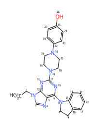 O=C(O)Cn1cnc2c(N3CCc4ccccc43)nc(N3CCN(c4ccc(O)cc4)CC3)nc21